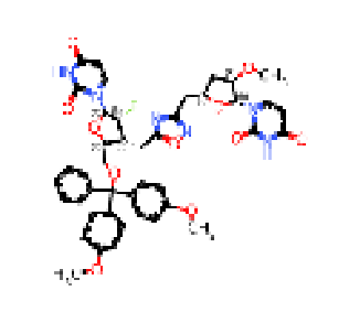 COc1ccc(C(OC[C@H]2O[C@@H](n3ccc(=O)[nH]c3=O)[C@H](F)[C@@H]2Cc2nc(C[C@H]3[CH][C@@H](OC)[C@H](n4ccc(=O)[nH]c4=O)O3)no2)(c2ccccc2)c2ccc(OC)cc2)cc1